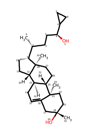 C[C@H](CC[C@H](O)C1CC1)[C@H]1CC[C@H]2[C@@H]3CC=C4C[C@@](C)(O)CC[C@]4(C)[C@H]3CC[C@]12C